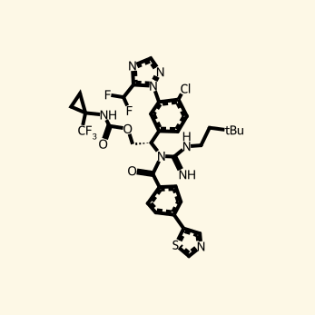 CC(C)(C)CCNC(=N)N(C(=O)c1ccc(-c2cncs2)cc1)[C@H](COC(=O)NC1(C(F)(F)F)CC1)c1ccc(Cl)c(-n2ncnc2C(F)F)c1